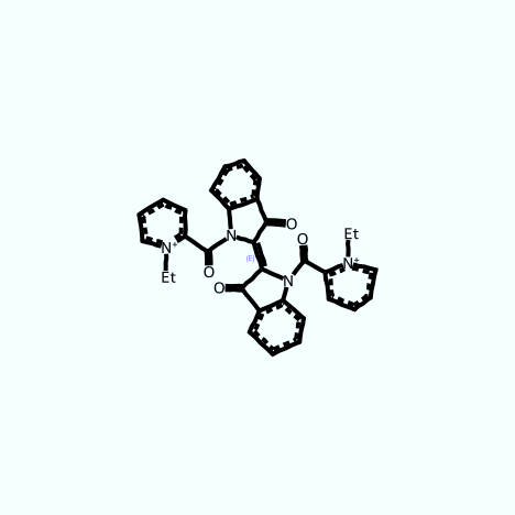 CC[n+]1ccccc1C(=O)N1/C(=C2\C(=O)c3ccccc3N2C(=O)c2cccc[n+]2CC)C(=O)c2ccccc21